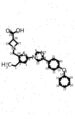 CCc1cc(-n2cnc(-c3ccc(Oc4ccccc4)cc3)c2)sc1CN1CC(C(=O)O)C1